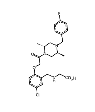 C[C@@H]1CN(Cc2ccc(F)cc2)[C@@H](C)CN1C(=O)COc1ccc(Cl)cc1CNCC(=O)O